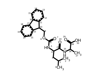 CC(C)CC(NC(=O)OCC1c2ccccc2-c2ccccc21)C(=O)NC(C)C(=O)O